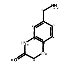 NCc1ccc2c(c1)NC(=O)CO2